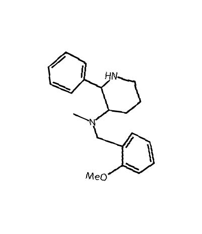 COc1ccccc1CN(C)C1CCCNC1c1ccccc1